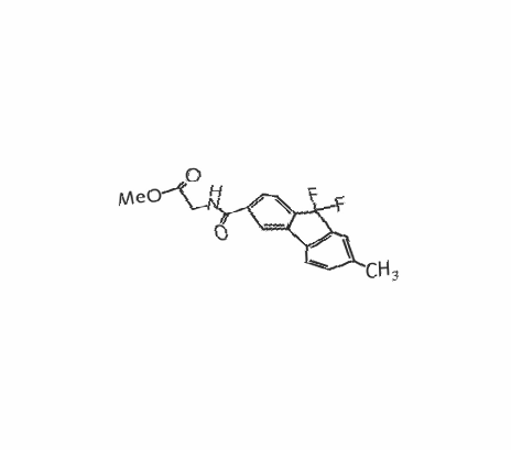 COC(=O)CNC(=O)c1ccc2c(c1)-c1ccc(C)cc1C2(F)F